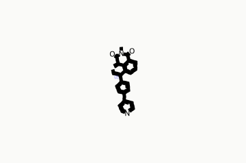 C=C1C(=O)N(C)C(=O)c2cccc(/C(=C\C)c3ccc(-c4ccncc4)cc3)c21